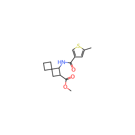 COC(=O)C1CC2(CCC2)C1NC(=O)c1csc(C)c1